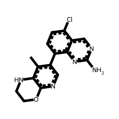 Cc1c(-c2ccc(Cl)c3cnc(N)nc23)cnc2c1NCCO2